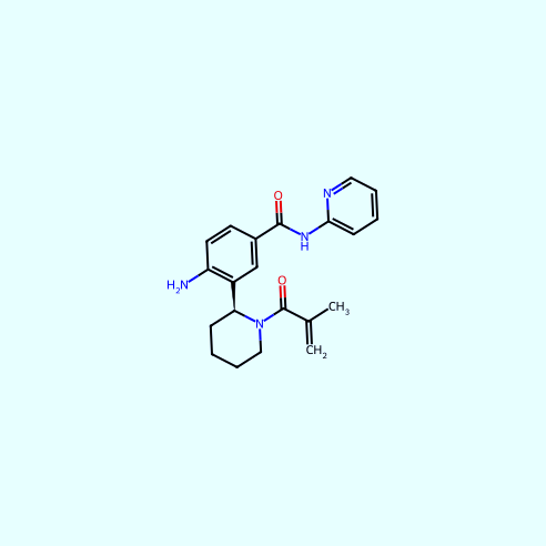 C=C(C)C(=O)N1CCCC[C@H]1c1cc(C(=O)Nc2ccccn2)ccc1N